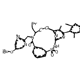 CCC(C)Oc1cnc(CN2C(=O)c3cccc(c3)S(=O)(=O)Nc3nc(c(C)c(-c4c(C)cccc4C)n3)OCC2CC(C)C)nc1